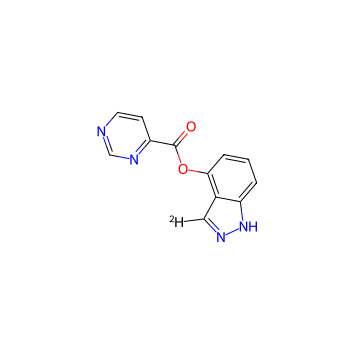 [2H]c1n[nH]c2cccc(OC(=O)c3ccncn3)c12